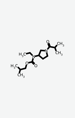 CCN(C(=O)OCC(C)C)C1CCN(C(=O)C(C)C)C1